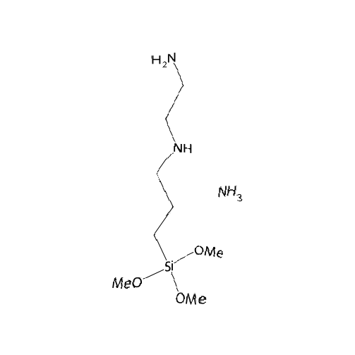 CO[Si](CCCNCCN)(OC)OC.N